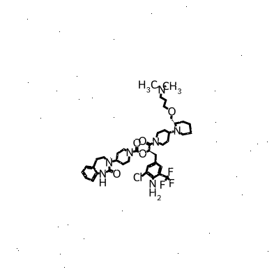 CN(C)CCCOC[C@@H]1CCCCN1C1CCN(C(=O)[C@@H](Cc2cc(Cl)c(N)c(C(F)(F)F)c2)OC(=O)N2CCC(N3CCc4ccccc4NC3=O)CC2)CC1